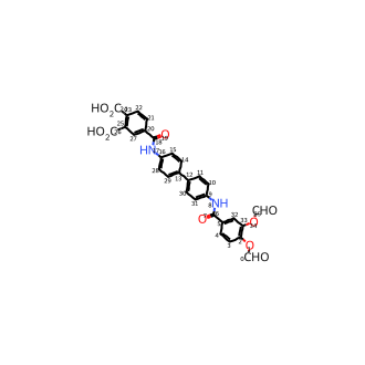 O=COc1ccc(C(=O)Nc2ccc(-c3ccc(NC(=O)c4ccc(C(=O)O)c(C(=O)O)c4)cc3)cc2)cc1OC=O